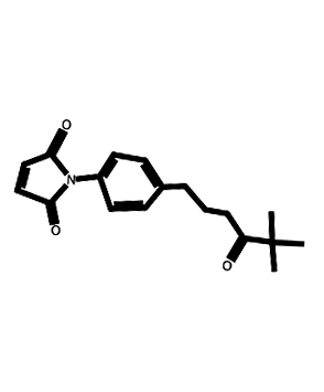 CC(C)(C)C(=O)CCCc1ccc(N2C(=O)C=CC2=O)cc1